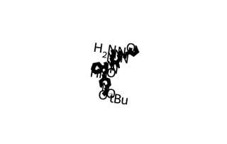 CC(C)(C)OC(=O)N1CCC(NC(=O)C(C)(c2ccccc2)n2ncc3c2nc(N)n2nc(-c4ccco4)nc32)CC1